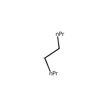 [CH2]CC[CH]CCC[CH2]